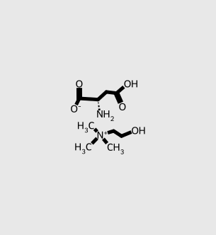 C[N+](C)(C)CCO.N[C@@H](CC(=O)O)C(=O)[O-]